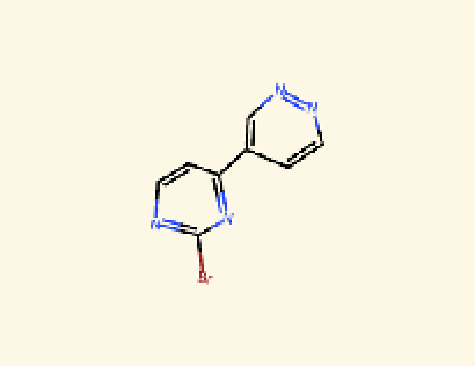 Brc1nccc(-c2ccnnc2)n1